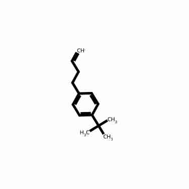 [CH]=CCCc1ccc(C(C)(C)C)cc1